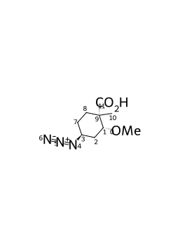 CO[C@@H]1C[C@@H](N=[N+]=[N-])CC[C@]1(C)C(=O)O